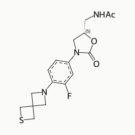 CC(=O)NC[C@H]1CN(c2ccc(N3CC4(CSC4)C3)c(F)c2)C(=O)O1